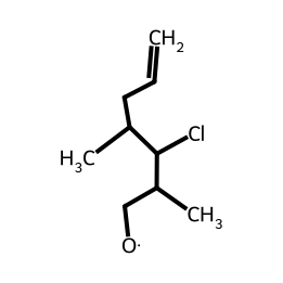 C=CCC(C)C(Cl)C(C)C[O]